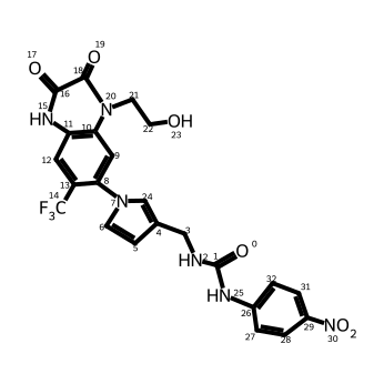 O=C(NCc1ccn(-c2cc3c(cc2C(F)(F)F)[nH]c(=O)c(=O)n3CCO)c1)Nc1ccc([N+](=O)[O-])cc1